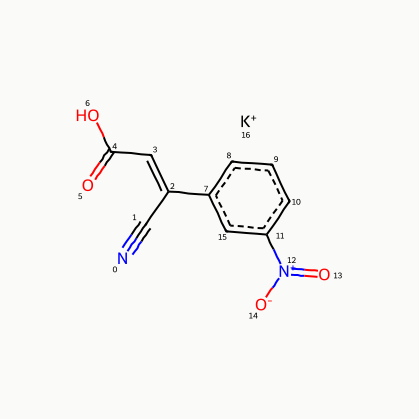 N#CC(=CC(=O)O)c1cccc([N+](=O)[O-])c1.[K+]